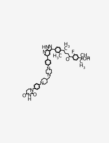 Cc1cc(-c2n[nH]c3ncc(-c4ccc(N5CCN(CC6CCN(c7ccc(N8CCC(=O)NC8=O)cc7)CC6)CC5)cc4)cc23)ccc1[C@@H](C)CCC(=O)c1ccc(C(C)(C)O)cc1F